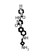 NC1CC(CNC2CCc3cc(-n4ccc(NC(=O)N5CCNCC5)nc4=O)ccc3C2)C1